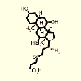 C[C@H](CC[Se]CCC(=O)O)[C@H]1CC[C@H]2[C@@H]3[C@H](O)C[C@@H]4C[C@H](O)CC[C@]4(C)[C@H]3C[C@H](O)[C@]12C